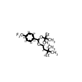 CCC(C)(C)CCOC(OC(C)(C)CC)c1ccc(C(F)(F)F)cc1